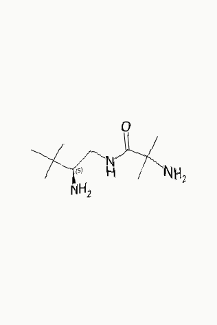 CC(C)(N)C(=O)NC[C@@H](N)C(C)(C)C